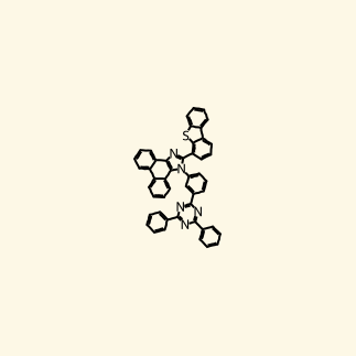 c1ccc(-c2nc(-c3ccccc3)nc(-c3cccc(-n4c(-c5cccc6c5sc5ccccc56)nc5c6ccccc6c6ccccc6c54)c3)n2)cc1